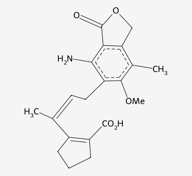 COc1c(C)c2c(c(N)c1CC=C(C)C1=C(C(=O)O)CCC1)C(=O)OC2